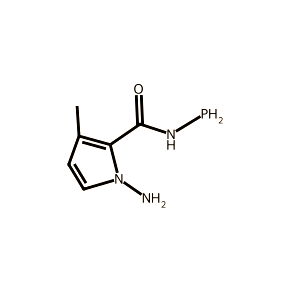 Cc1ccn(N)c1C(=O)NP